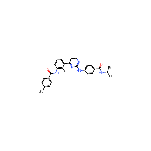 CCC(CC)NC(=O)c1ccc(Nc2nccc(-c3cccc(NC(=O)c4ccc(C(C)(C)C)cc4)c3C)n2)cc1